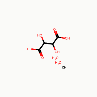 O.O.O=C(O)C(O)C(O)C(=O)O.[KH]